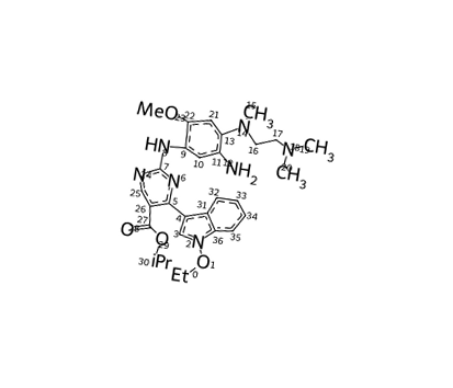 CCOn1cc(-c2nc(Nc3cc(N)c(N(C)CCN(C)C)cc3OC)ncc2C(=O)OC(C)C)c2ccccc21